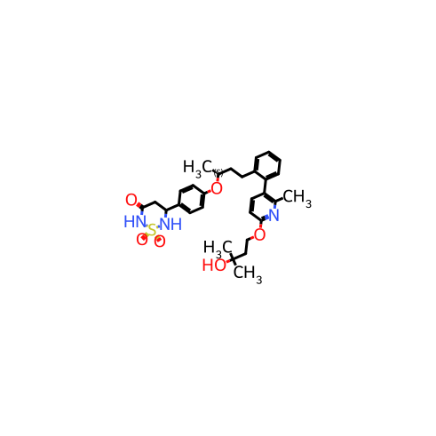 Cc1nc(OCCC(C)(C)O)ccc1-c1ccccc1CC[C@H](C)Oc1ccc(C2CC(=O)NS(=O)(=O)N2)cc1